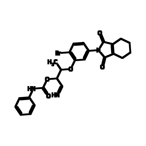 CC(Oc1cc(N2C(=O)C3=C(CCCC3)C2=O)ccc1Br)C(C=N)OC(=O)Nc1ccccc1